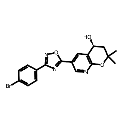 CC1(C)C[C@H](O)c2cc(-c3nc(-c4ccc(Br)cc4)no3)cnc2O1